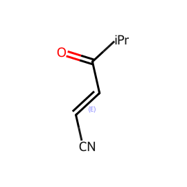 CC(C)C(=O)/C=C/C#N